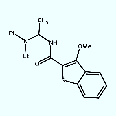 CCN(CC)C(C)NC(=O)c1sc2ccccc2c1OC